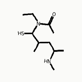 CCN(C(C)=O)C(S)C(C)CC(C)NC